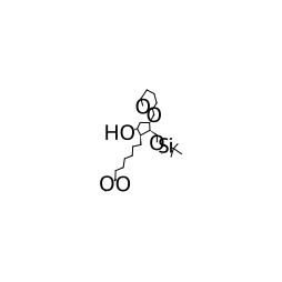 COC(=O)CCCCCC[C@@H]1[C@H](CO[Si](C)(C)C(C)(C)C)[C@H](OC2CCCCO2)C[C@@H]1O